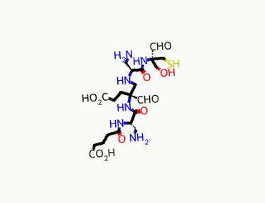 NC[C@H](NC[C@@](C=O)(CCC(=O)O)NC(=O)[C@H](CN)NC(=O)CCCC(=O)O)C(=O)N[C@](C=O)(CO)CS